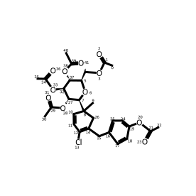 CC(=O)OC[C@H]1O[C@@H](C2(C)C=CC(Cl)=C(Cc3ccc(OC(C)=O)cc3)C2)[C@H](OC(C)=O)[C@@H](OC(C)=O)[C@@H]1OC(C)=O